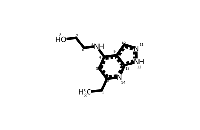 CCc1cc(NCCO)c2cn[nH]c2n1